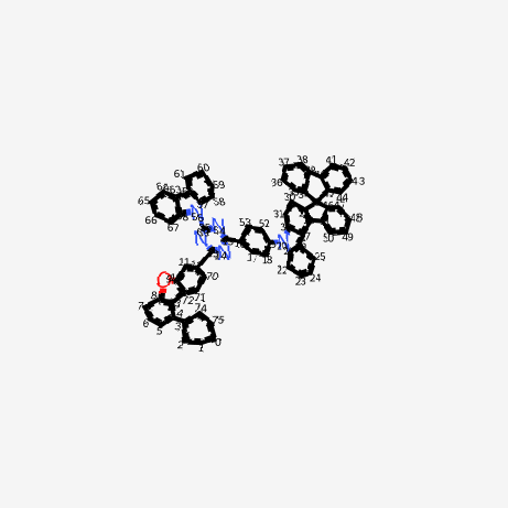 c1ccc(-c2cccc3oc4cc(-c5nc(-c6ccc(-n7c8ccccc8c8c9c(ccc87)C7(c8ccccc8-c8ccccc87)c7ccccc7-9)cc6)nc(-n6c7ccccc7c7ccccc76)n5)ccc4c23)cc1